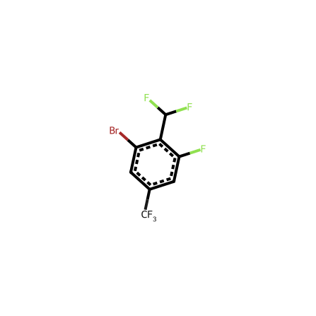 Fc1cc(C(F)(F)F)cc(Br)c1C(F)F